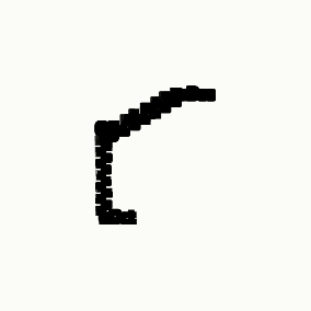 CCCCCCCCC=CCCCCCCCCCCCC(=O)OCCCCCCCCCCCCCCCCCCCCCCC